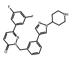 O=c1ccc(-c2cc(F)cc(F)c2)nn1Cc1cccc(-c2cnn(C3CCNCC3)c2)c1